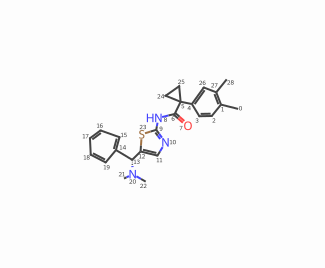 Cc1ccc(C2(C(=O)Nc3ncc([C@@H](c4ccccc4)N(C)C)s3)CC2)cc1C